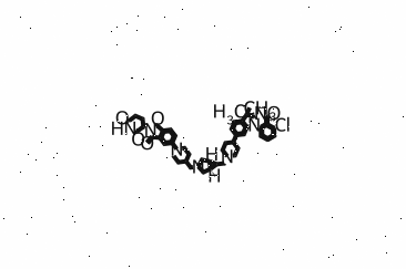 CC1(C)c2ccc(C3CCN(CC4[C@H]5CN(CC6CCN(c7ccc8c(c7)C(=O)N(C7CCC(=O)NC7=O)C8=O)CC6)C[C@@H]45)CC3)cc2-n2c1nc(=O)c1c(Cl)cccc12